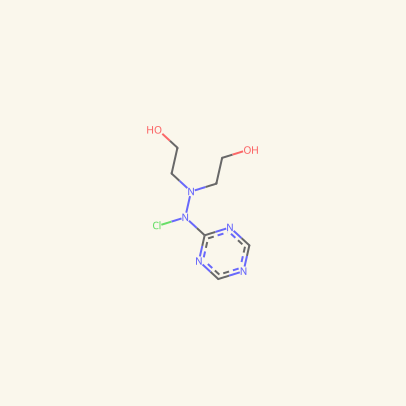 OCCN(CCO)N(Cl)c1ncncn1